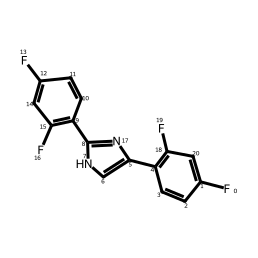 Fc1ccc(-c2c[nH]c(-c3ccc(F)cc3F)n2)c(F)c1